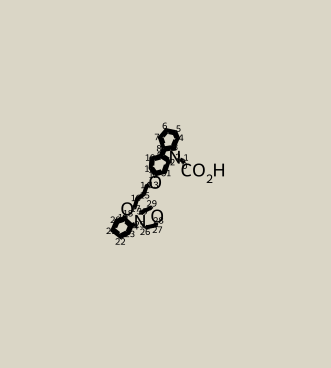 O=C(O)Cn1c2ccccc2c2ccc(OCCCCOc3ccccc3N3CCOCC3)cc21